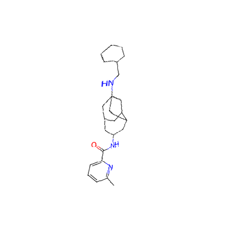 Cc1cccc(C(=O)NC2CC3CC4CC(NCC5CCCCC5)(C3)CC4C2)n1